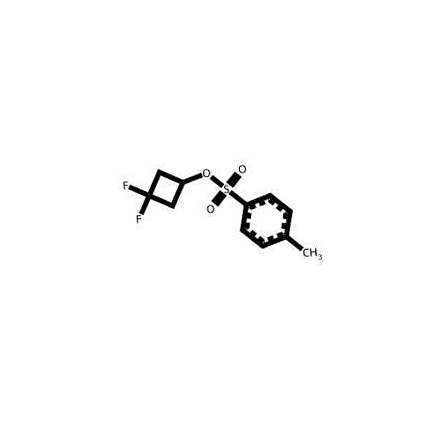 Cc1ccc(S(=O)(=O)OC2CC(F)(F)C2)cc1